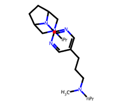 CCCN(C)CCCc1cnc(N2C3CCC2CN(C(C)C)C3)nc1